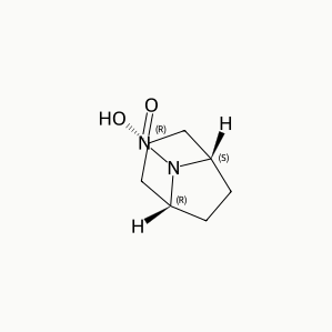 O=NN1[C@@H]2CC[C@H]1C[C@@H](O)C2